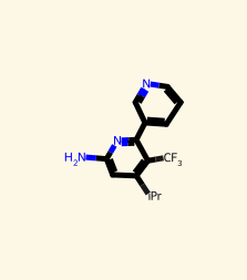 CC(C)c1cc(N)nc(-c2cccnc2)c1C(F)(F)F